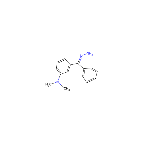 CN(C)c1cccc(C(=NN)c2ccccc2)c1